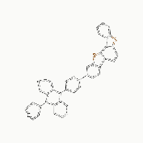 c1ccc(-c2c3ccccc3c(-c3ccc(-c4ccc5c(c4)sc4c5ccc5sc6ccccc6c54)cc3)c3ccccc23)cc1